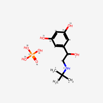 CC(C)(C)NCC(O)c1cc(O)cc(O)c1.O=P(O)(O)O